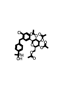 [2H]C(C)(O)c1ccc(Cc2cc([C@@H]3O[C@H](COC(C)=O)[C@@H](OC(C)=O)[C@H](OC(C)=O)[C@H]3OC(C)=O)ccc2Cl)cc1